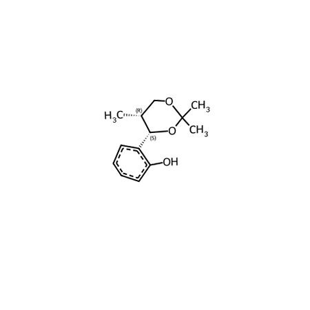 C[C@@H]1COC(C)(C)O[C@@H]1c1ccccc1O